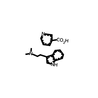 CN(C)CCc1c[nH]c2ccccc12.O=C(O)c1cccnc1